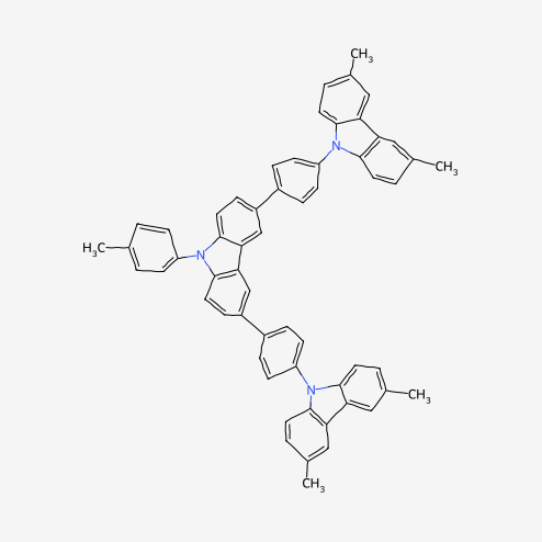 Cc1ccc(-n2c3ccc(-c4ccc(-n5c6ccc(C)cc6c6cc(C)ccc65)cc4)cc3c3cc(-c4ccc(-n5c6ccc(C)cc6c6cc(C)ccc65)cc4)ccc32)cc1